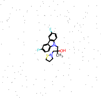 CC(O)(CN1CCCS1)Cn1c2ccc(F)cc2c2cc(F)ccc21